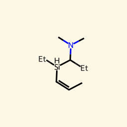 C/C=C\[SiH](CC)C(CC)N(C)C